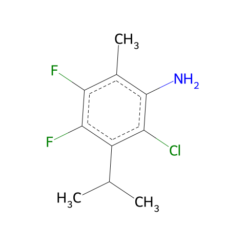 Cc1c(N)c(Cl)c(C(C)C)c(F)c1F